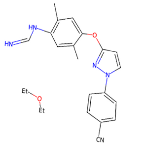 CCOCC.Cc1cc(Oc2ccn(-c3ccc(C#N)cc3)n2)c(C)cc1NC=N